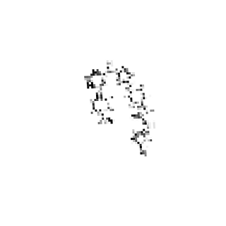 CCCN1CCN(c2cc(Nc3ncc(-c4ccc(NC(=O)Nc5cc(CC)on5)cc4)s3)ncn2)CC1